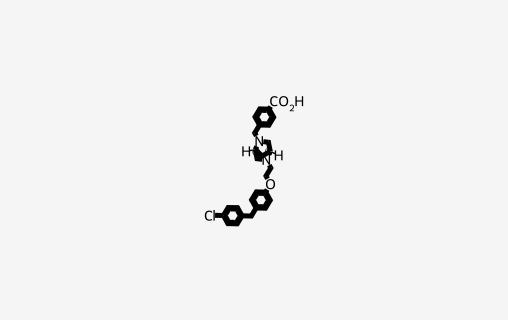 O=C(O)c1ccc(CN2C[C@@H]3C[C@H]2CN3CCOc2ccc(Cc3ccc(Cl)cc3)cc2)cc1